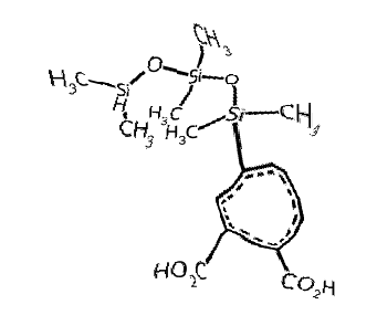 C[SiH](C)O[Si](C)(C)O[Si](C)(C)c1ccc(C(=O)O)c(C(=O)O)c1